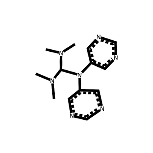 CN(C)C(N(C)C)N(c1cncnc1)c1cncnc1